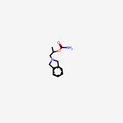 CC(CN1Cc2ccccc2C1)OC(N)=O